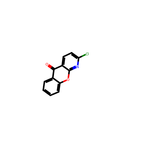 O=c1c2ccccc2oc2nc(Cl)ccc12